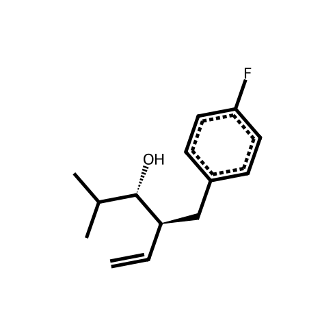 C=C[C@H](Cc1ccc(F)cc1)[C@@H](O)C(C)C